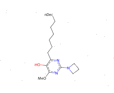 CCCCCCCCCCCCCCCCc1nc(N2CCC2)nc(OC)c1O